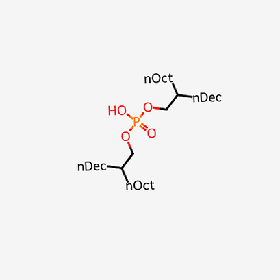 CCCCCCCCCCC(CCCCCCCC)COP(=O)(O)OCC(CCCCCCCC)CCCCCCCCCC